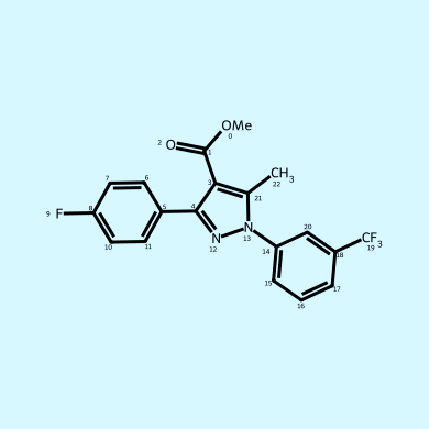 COC(=O)c1c(-c2ccc(F)cc2)nn(-c2cccc(C(F)(F)F)c2)c1C